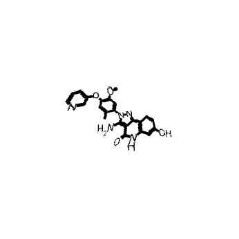 COc1cc(-n2nc3c(c2N)c(=O)[nH]c2cc(O)ccc23)c(C)cc1Oc1cccnc1